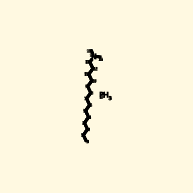 CCCCCCCCCCCCCCN(C)C.P